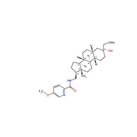 COC[C@@]1(O)CC[C@H]2[C@H](CC[C@@H]3[C@@H]2CC[C@]2(C)[C@@H](CNC(=O)c4ccc(OC(F)(F)F)cn4)CC[C@@H]32)C1